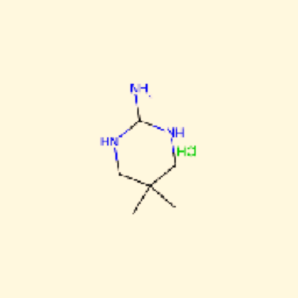 CC1(C)CNC(N)NC1.Cl